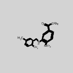 COC(=O)c1ccc([N+](=O)[O-])c(NCc2cc(C)ccc2C)c1